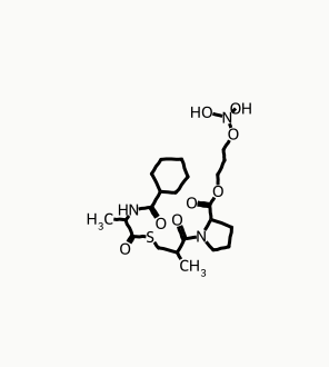 CC(CSC(=O)C(C)NC(=O)C1CCCCC1)C(=O)N1CCCC1C(=O)OCCCON(O)O